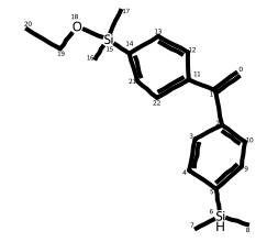 C=C(c1ccc([SiH](C)C)cc1)c1ccc([Si](C)(C)OCC)cc1